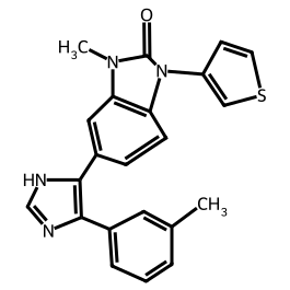 Cc1cccc(-c2nc[nH]c2-c2ccc3c(c2)n(C)c(=O)n3-c2ccsc2)c1